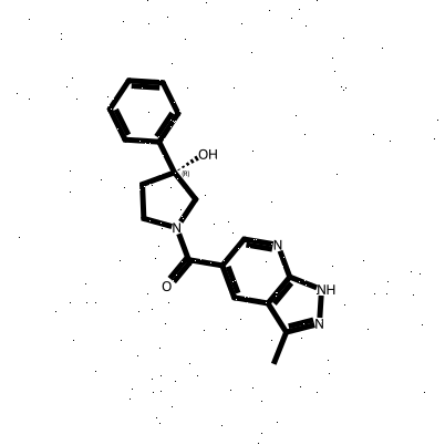 Cc1n[nH]c2ncc(C(=O)N3CC[C@@](O)(c4ccccc4)C3)cc12